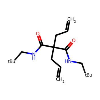 C=CCC(CC=C)(C(=O)NCC(C)(C)C)C(=O)NCC(C)(C)C